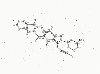 CC#CCn1c(N2CCC[C@@H](N)C2)nc2c1c(=O)n(C(C)c1nc(C)c3ccccc3n1)c(=O)n2C